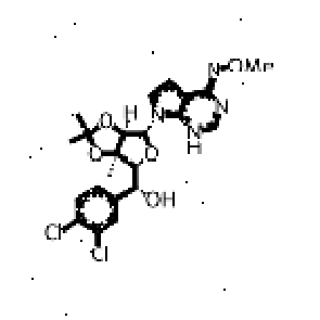 CON=c1nc[nH]c2c1ccn2[C@@H]1O[C@H]([C@H](O)c2ccc(Cl)c(Cl)c2)[C@@]2(C)OC(C)(C)O[C@@H]12